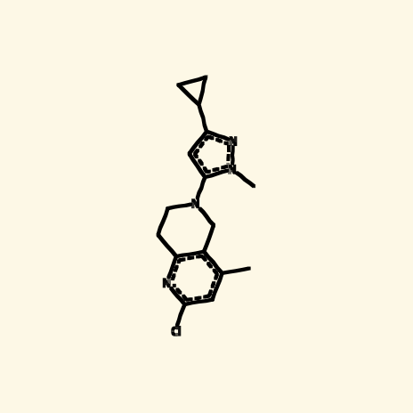 Cc1cc(Cl)nc2c1CN(c1cc(C3CC3)nn1C)CC2